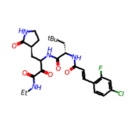 CCNC(=O)C(=O)C(C[C@@H]1CCNC1=O)NC(=O)[C@H](CC(C)(C)C)NC(=O)/C=C/c1ccc(Cl)cc1F